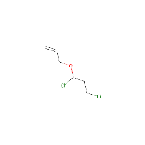 C=CCOC(Cl)CCCl